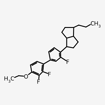 CCCC1CCC2C(c3ccc(-c4ccc(OCC)c(F)c4F)cc3F)CCC12